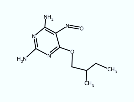 CCC(C)COc1nc(N)nc(N)c1N=O